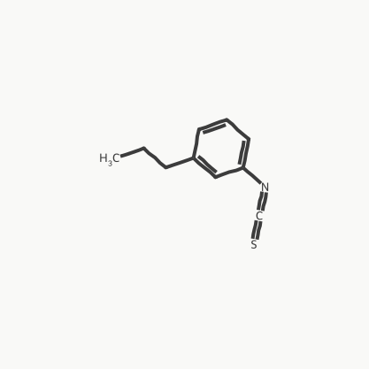 CCCc1cccc(N=C=S)c1